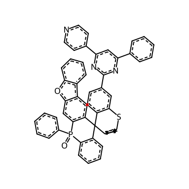 O=P1(c2ccccc2)c2ccccc2C2(c3ccccc3Sc3cc(-c4nc(-c5ccccc5)cc(-c5ccncc5)n4)ccc32)c2cc3c(cc21)oc1ccccc13